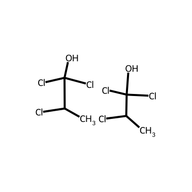 CC(Cl)C(O)(Cl)Cl.CC(Cl)C(O)(Cl)Cl